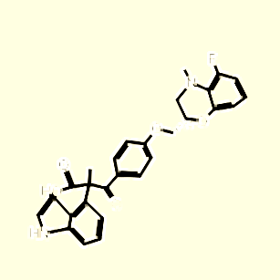 CN1C[C@@H](COc2ccc(C(=O)C(C)(C(=O)O)c3cccc4[nH]ccc34)cc2)Oc2cccc(F)c21